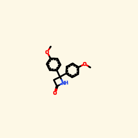 COc1ccc(C2(c3ccc(OC)cc3)CC(=O)N2)cc1